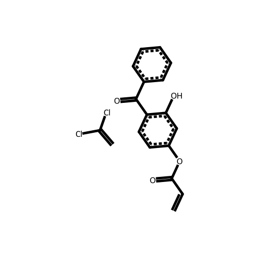 C=C(Cl)Cl.C=CC(=O)Oc1ccc(C(=O)c2ccccc2)c(O)c1